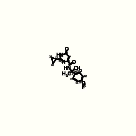 CC(C)(NC(=O)c1cc(=O)[nH]c(C2CC2)n1)c1ccc(OF)cc1